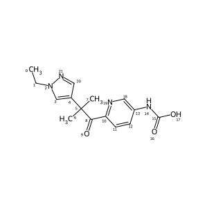 CCn1cc(C(C)(C)C(=O)c2ccc(NC(=O)O)cn2)cn1